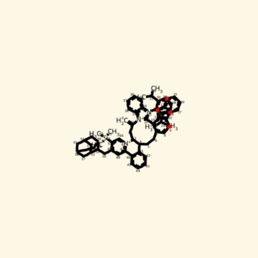 C=C1CC2C(CCc3ccc4c(oc5ccccc54)c3-c3n(-c4c(C(C)C)cccc4C(C)C)c4ccccc4[n+]31)c1ccccc1-c1cc(CC3C4CC5CC(C4)CC3C5)c([Si](C)(C)C)c[n+]12